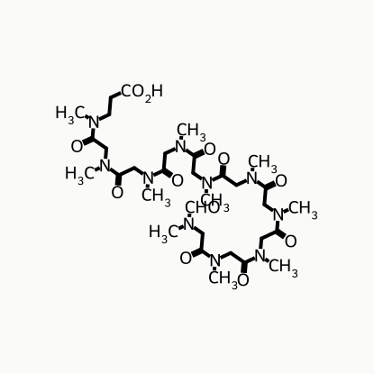 CN(C=O)CC(=O)N(C)CC(=O)N(C)CC(=O)N(C)CC(=O)N(C)CC(=O)N(C)CC(=O)N(C)CC(=O)N(C)CC(=O)N(C)CC(=O)N(C)CCC(=O)O